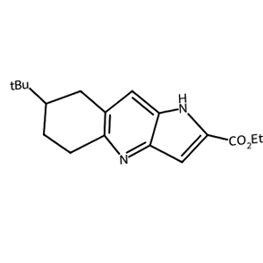 CCOC(=O)c1cc2nc3c(cc2[nH]1)CC(C(C)(C)C)CC3